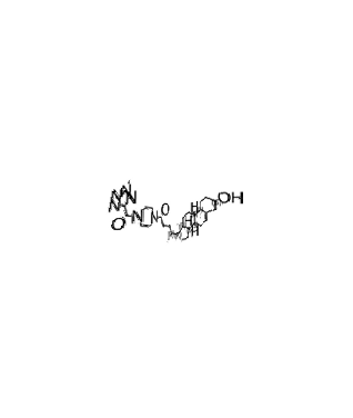 C[C@H](CCC(=O)N1CCN(C(=O)c2nnn(C)n2)CC1)[C@H]1CC[C@H]2[C@@H]3CC=C4C[C@@H](O)CC[C@]4(C)[C@H]3CC[C@]12C